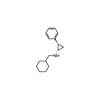 c1ccc([C@H]2C[C@@H]2NCC2CCCCC2)cc1